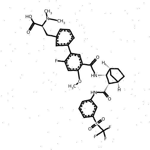 COc1cc(F)c(-c2cccc(C[C@@H](C(=O)O)N(C)C)c2)cc1C(=O)N[C@@H]1[C@H]2CC[C@H](C2)[C@@H]1C(=O)Nc1cccc(S(=O)(=O)C(F)(F)F)c1